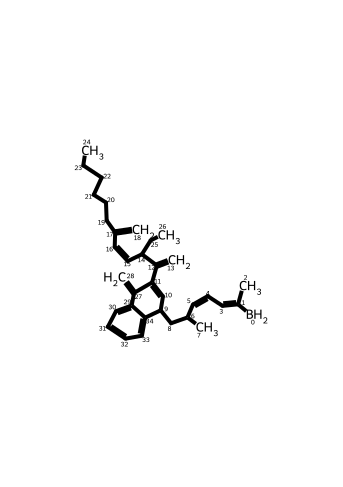 B/C(C)=C/C=C\C(C)CC1C=C(C(=C)C(/C=C\C(=C)CCCCCC)CC)C(=C)c2ccccc21